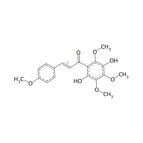 COc1ccc(/C=C/C(=O)c2c(O)c(OC)c(OC)c(O)c2OC)cc1